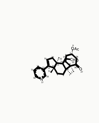 CC(=O)O[C@H]1CC[C@](C)([C@@]2(C)CC[C@]3(C)C(c4cccnc4)=CC[C@@]3(C)C2CC=O)C(=O)C1